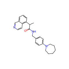 CC(C(=O)NCc1ccc(N2CCCCCC2)cc1)c1cccc2cnccc12